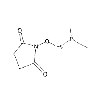 CP(C)SON1C(=O)CCC1=O